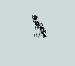 CC1C(C2CC2)N=C2C=CC(NC(=O)c3ccc(Oc4cccnc4)cc3)=CN21